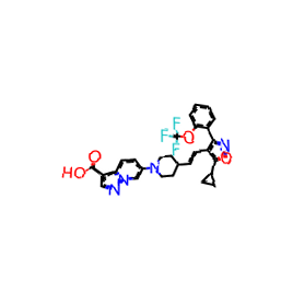 O=C(O)c1cnn2cc(N3CCC(/C=C/c4c(-c5ccccc5OC(F)(F)F)noc4C4CC4)CC3)ccc12